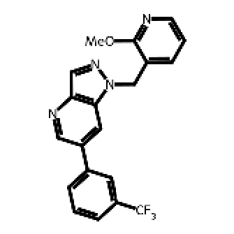 COc1ncccc1Cn1ncc2ncc(-c3cccc(C(F)(F)F)c3)cc21